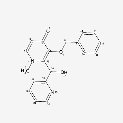 Cn1ccc(=O)c(OCc2ccccc2)c1C(O)c1ccccn1